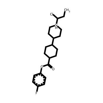 CCC(Cl)[SiH]1CCC(C2CCC(C(=O)Oc3ccc(F)cc3)CC2)CC1